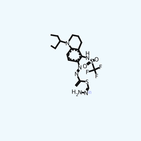 C=C(N=Nc1ccc2c(c1NS(=O)(=O)C(F)(F)F)CCCN2C(CC)CC)S/C=N\N